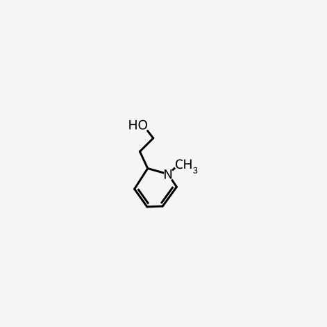 CN1C=CC=CC1CCO